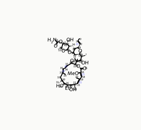 C/C=C/[C@H]1O[C@@H]([C@@H](C)[C@H](O)[C@H](C)[C@H]2OC(=O)/C(OC)=C/C(C)=C/[C@@H](C)[C@@H](O)[C@@H](CC)[C@@H](O)[C@H](C)C/C(C)=C/C=C/[C@@H]2OC)C[C@@H](O[C@H]2C[C@@H](O)[C@H](OC(N)=O)[C@@H](C)O2)[C@@H]1C